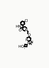 C[C@]1(O)C[C@@H](n2nnc3cc(OCCN4CCC5(CC4)C(=O)Nc4ccc(Cl)cc45)cnc32)C1